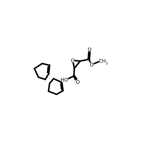 C1=CCCCC1.C1=CCCCC1.COC(=O)C1OC1C(=O)O